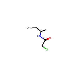 CC(CC=O)NC(=O)CCl